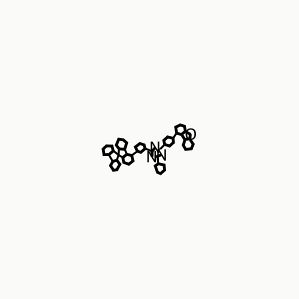 c1ccc(-c2nc(-c3ccc(-c4cccc5oc6ccccc6c45)cc3)nc(-c3cccc(-c4cccc5c4-c4ccccc4C54c5ccccc5-c5ccccc54)c3)n2)cc1